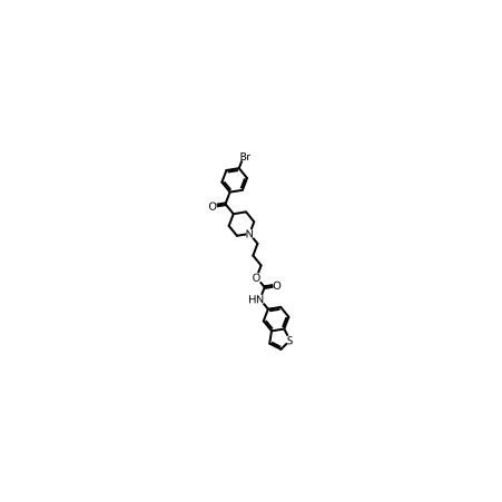 O=C(Nc1ccc2sccc2c1)OCCCN1CCC(C(=O)c2ccc(Br)cc2)CC1